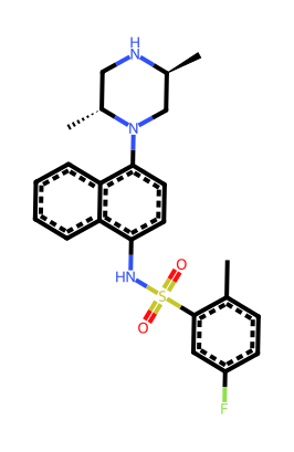 Cc1ccc(F)cc1S(=O)(=O)Nc1ccc(N2C[C@H](C)NC[C@H]2C)c2ccccc12